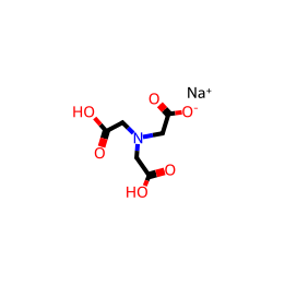 O=C([O-])CN(CC(=O)O)CC(=O)O.[Na+]